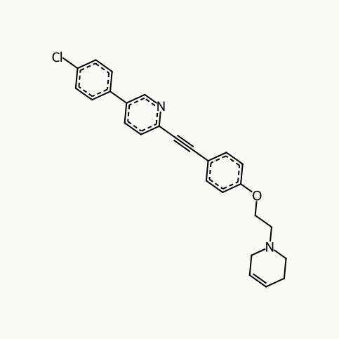 Clc1ccc(-c2ccc(C#Cc3ccc(OCCN4CC=CCC4)cc3)nc2)cc1